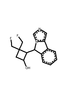 OC1CC(CF)(CF)C1C1c2ccccc2-c2cncn21